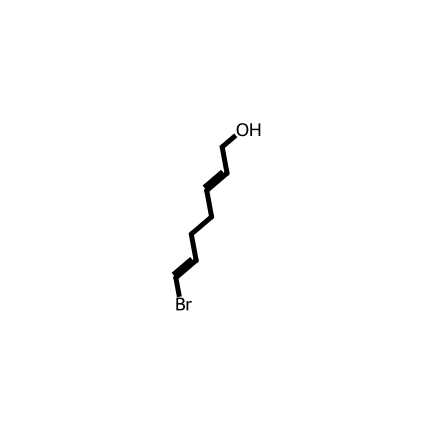 OC/C=C/CC/C=C/Br